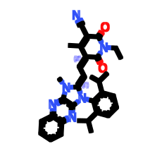 CCN1C(=O)C(C#N)=C(C)/C(=C/C=C2\N(C)c3nc4ccccc4nc3N2c2c(C(C)C)cccc2C(C)C)C1=O